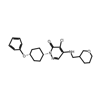 O=c1c(Cl)c(NCC2CCCOC2)cnn1[C@H]1CC[C@@H](Oc2ccccc2)CC1